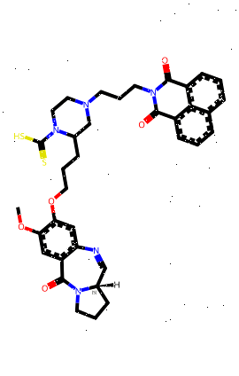 COc1cc2c(cc1OCCCC1CN(CCCN3C(=O)c4cccc5cccc(c45)C3=O)CCN1C(=S)S)N=C[C@@H]1CCCN1C2=O